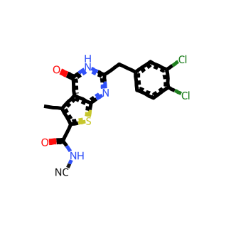 Cc1c(C(=O)NC#N)sc2nc(Cc3ccc(Cl)c(Cl)c3)[nH]c(=O)c12